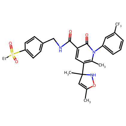 CCS(=O)(=O)c1ccc(CNC(=O)c2cc(C3(C)C=C(C)ON3)c(C)n(-c3cccc(C(F)(F)F)c3)c2=O)cc1